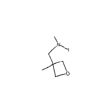 CN(I)CC1(C)COC1